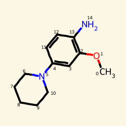 COc1cc(N2CCCCC2)ccc1N